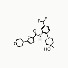 CC1(O)CCN(c2ccc(C(F)F)cc2NC(=O)c2ccc(C3CCOCC3)o2)CC1